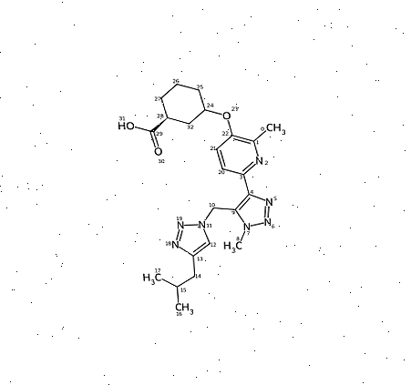 Cc1nc(-c2nnn(C)c2Cn2cc(CC(C)C)nn2)ccc1OC1CCC[C@H](C(=O)O)C1